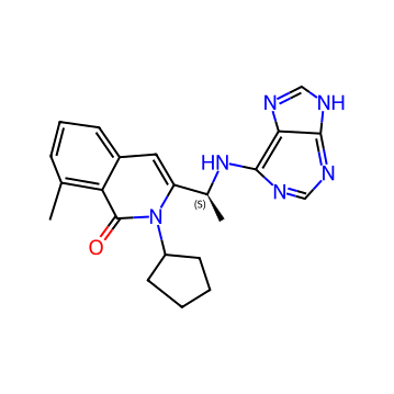 Cc1cccc2cc([C@H](C)Nc3ncnc4[nH]cnc34)n(C3CCCC3)c(=O)c12